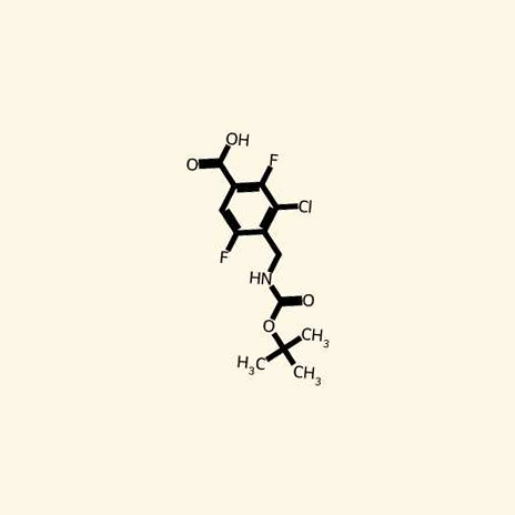 CC(C)(C)OC(=O)NCc1c(F)cc(C(=O)O)c(F)c1Cl